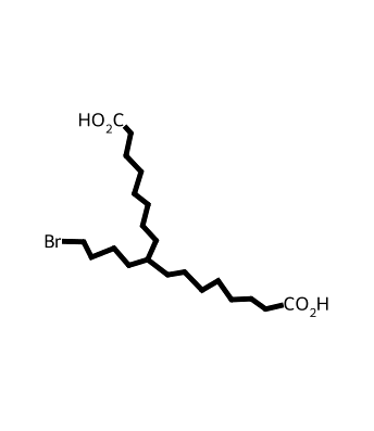 O=C(O)CCCCCCCC(CCCCBr)CCCCCCCC(=O)O